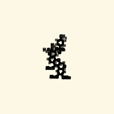 COC1=C2c3cc(OC)c(OC)cc3OCC2Oc2c1ccc1c2CC(OS(=O)(=O)c2ccc(C)cc2)C(C)(C)O1